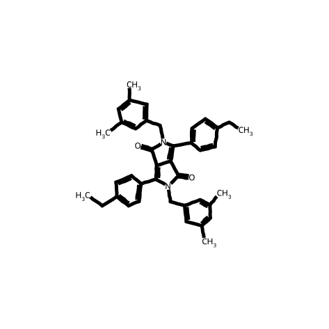 CCc1ccc(C2=C3C(=O)N(Cc4cc(C)cc(C)c4)C(c4ccc(CC)cc4)=C3C(=O)N2Cc2cc(C)cc(C)c2)cc1